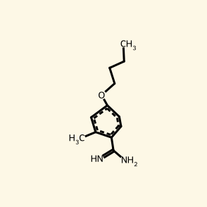 CCCCOc1ccc(C(=N)N)c(C)c1